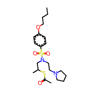 CCCCOc1ccc(S(=O)(=O)N(CCN2CCCC2)CC(C)SC(C)=O)cc1